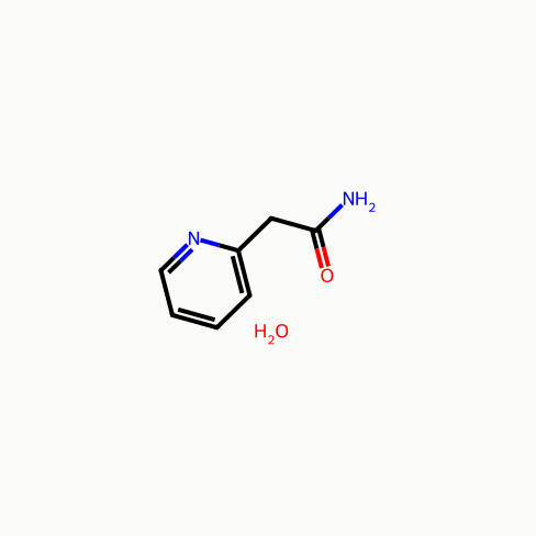 NC(=O)Cc1ccccn1.O